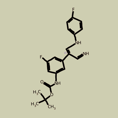 CC(C)(C)OC(=O)Nc1cc(F)cc(/C(C=N)=C/Nc2ccc(F)cc2)c1